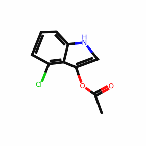 CC(=O)Oc1c[nH]c2cccc(Cl)c12